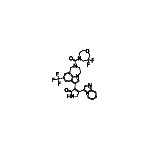 O=C1NCC(c2cnc3ccccn23)=C1c1cn2c3c(cc(C(F)(F)F)cc13)CN(C(=O)N1CCOCC(F)(F)C1)CC2